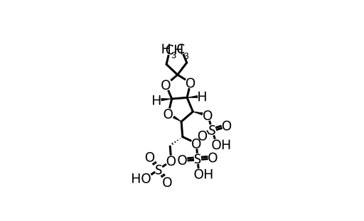 CCC1(CC)O[C@H]2O[C@H]([C@@H](COS(=O)(=O)O)OS(=O)(=O)O)[C@H](OS(=O)(=O)O)[C@H]2O1